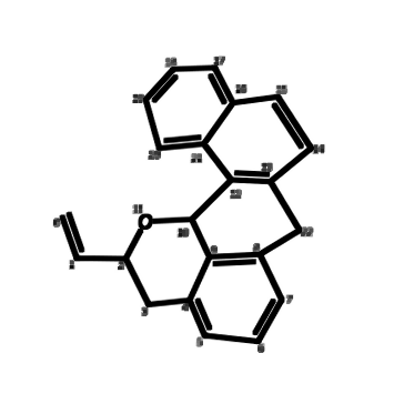 C=CC1Cc2cccc3c2C(O1)c1c(ccc2ccccc12)C3